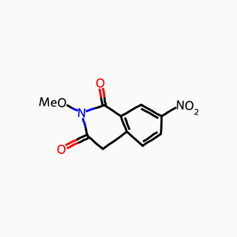 CON1C(=O)Cc2ccc([N+](=O)[O-])cc2C1=O